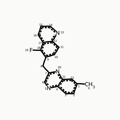 Cc1ccc2ncc(Cc3ccc4ncccc4c3F)nc2c1